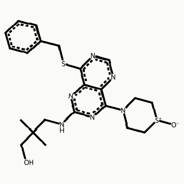 CC(C)(CO)CNc1nc(N2CC[S+]([O-])CC2)c2ncnc(SCc3ccccc3)c2n1